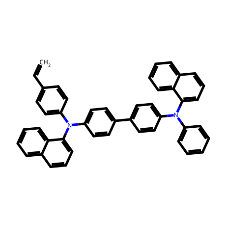 C=Cc1ccc(N(c2ccc(-c3ccc(N(c4ccccc4)c4cccc5ccccc45)cc3)cc2)c2cccc3ccccc23)cc1